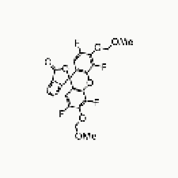 COCOc1c(F)cc2c(c1F)Oc1c(cc(F)c(OCOC)c1F)C21OC(=O)c2ccccc21